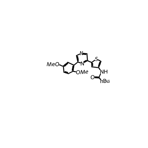 CCCCC(=O)Nc1csc(-c2cncc(-c3cc(OC)ccc3OC)n2)c1